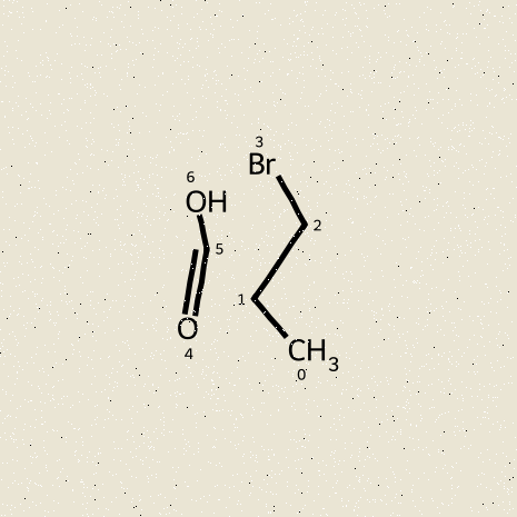 CCCBr.O=CO